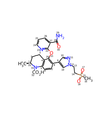 C[C@H]1CCc2c(ccc(-c3cnn(CCS(C)(=O)=O)c3)c2Oc2ncccc2C(N)=O)N1C(=O)O